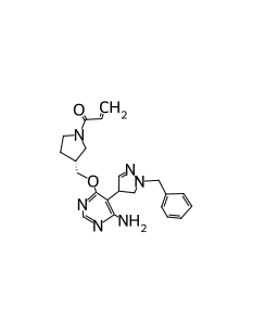 C=CC(=O)N1CC[C@@H](COc2ncnc(N)c2C2C=NN(Cc3ccccc3)C2)C1